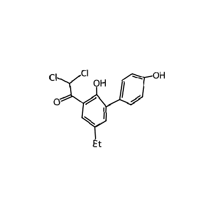 CCc1cc(C(=O)C(Cl)Cl)c(O)c(-c2ccc(O)cc2)c1